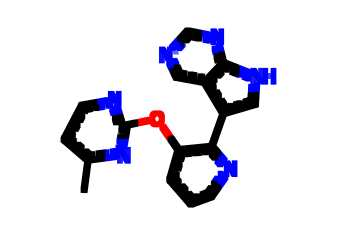 Cc1ccnc(Oc2cccnc2-c2c[nH]c3ncncc23)n1